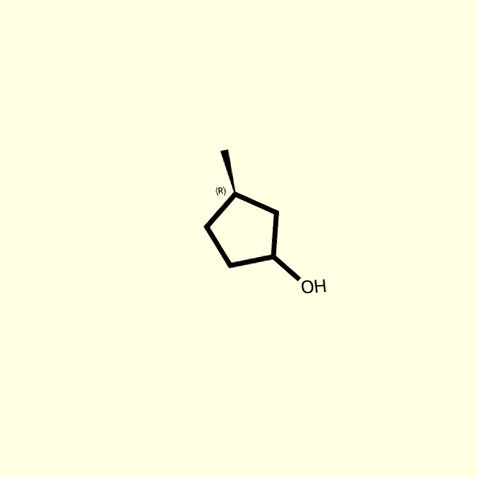 C[C@@H]1CCC(O)C1